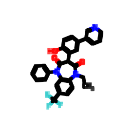 CCN1C(=O)C(c2cc(-c3cccnc3)ccc2O)C(=O)N(c2ccccc2)c2cc(C(F)(F)F)ccc21